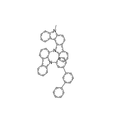 Cn1c2ccccc2c2c1ccc1c3ccccc3n(-c3cccc4c5ccccc5n(-c5cccc(-c6cccc(-c7ccccc7)c6)c5)c34)c12